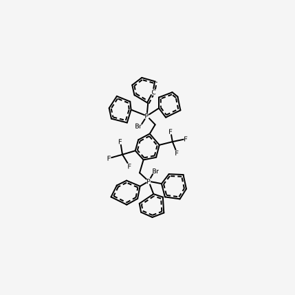 FC(F)(F)c1cc(CP(Br)(c2ccccc2)(c2ccccc2)c2ccccc2)c(C(F)(F)F)cc1CP(Br)(c1ccccc1)(c1ccccc1)c1ccccc1